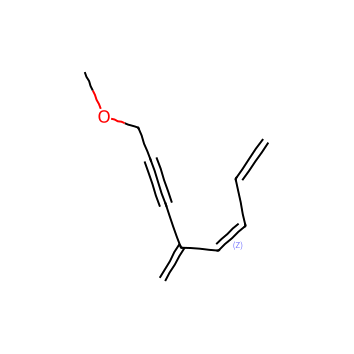 C=C/C=C\C(=C)C#CCOC